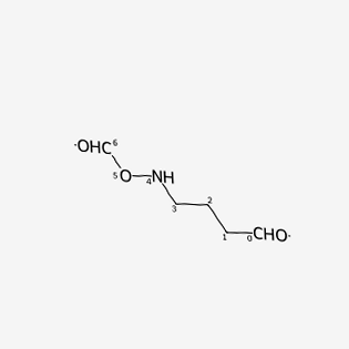 O=[C]CCCNO[C]=O